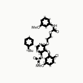 CC(C)(C)c1ccccc1.COc1cccc(NC(=O)OCCOc2ncnc(N=S(=O)=O)c2Oc2cc(OC)ccc2Cl)c1